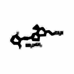 CC(=O)O.O=C(O)CCN1Cc2ccc(C#Cc3c(F)cccc3F)cc2C2(CC2)C1